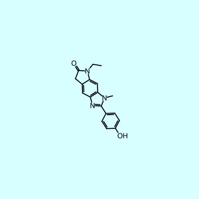 CCN1C(=O)Cc2cc3nc(-c4ccc(O)cc4)n(C)c3cc21